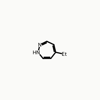 CCC1=CC=NNC=C1